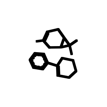 C1=C(c2ccccc2)CCCC1.CC1=CCC2C(C1)C2(C)C